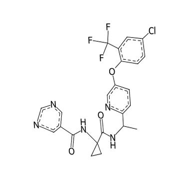 CC(NC(=O)C1(NC(=O)c2cncnc2)CC1)c1ccc(Oc2ccc(Cl)cc2C(F)(F)F)cn1